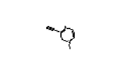 C#CC1=NC=CN(C)C1